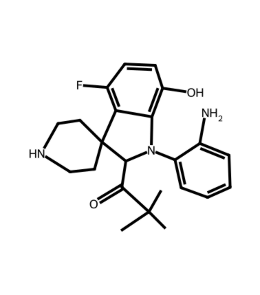 CC(C)(C)C(=O)C1N(c2ccccc2N)c2c(O)ccc(F)c2C12CCNCC2